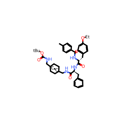 CCOc1ccc(C[C@@H](NC(=O)c2ccc(C)cc2)C(=O)N[C@@H](Cc2ccccc2)C(=O)NCC23CCC(CNC(=O)OC(C)(C)C)(CC2)CC3)cc1